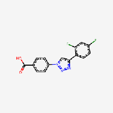 O=C(O)c1ccc(-n2cc(-c3ccc(F)cc3F)nn2)cc1